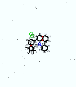 CC1=C(C)C(C)(C)[C]([Ti+2][N](c2ccccc2-c2ccccc2)c2ccccc2-c2ccccc2)=C1C.[Cl-].[Cl-]